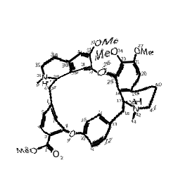 COC(=O)c1ccc2cc1Oc1ccc(cc1)C[C@H]1c3c(cc(OC)c(OC)c3Oc3cc4c(cc3OC)CCN(C)[C@@H]4C2)CCN1C